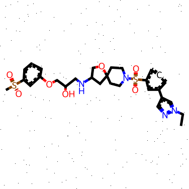 CCn1cc(-c2cccc(S(=O)(=O)N3CCC4(CC3)CC(NCC(O)COc3cccc(S(C)(=O)=O)c3)CO4)c2)cn1